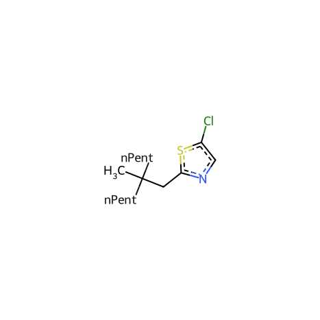 CCCCCC(C)(CCCCC)Cc1ncc(Cl)s1